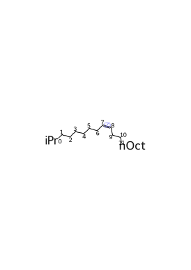 [CH2]C(C)CCCCCC/C=C\CCCCCCCCCC